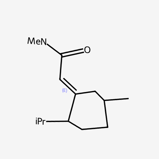 CNC(=O)/C=C1\CC(C)CCC1C(C)C